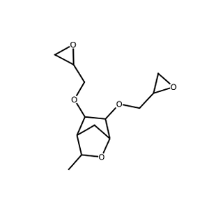 CC1OC2CC1C(OCC1CO1)C2OCC1CO1